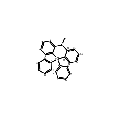 CN1c2ccccc2[Si](c2ccccc2)(c2ccccc2)c2ccccc21